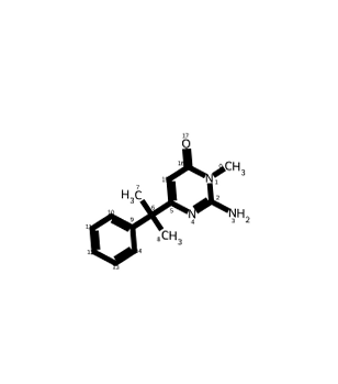 Cn1c(N)nc(C(C)(C)c2ccccc2)cc1=O